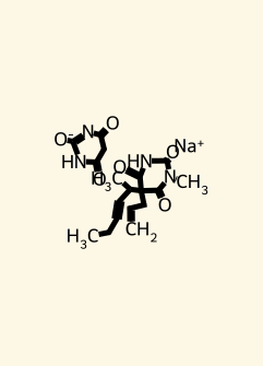 C=CCC1(C(C)C#CCC)C(=O)NC(=O)N(C)C1=O.O=C1CC(=O)NC([O-])=N1.[Na+]